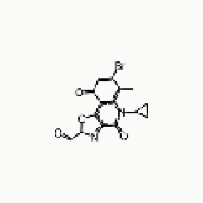 CC1=c2c(c3c(c(=O)n2C2CC2)=NC(C=O)O3)C(=O)C=C1Br